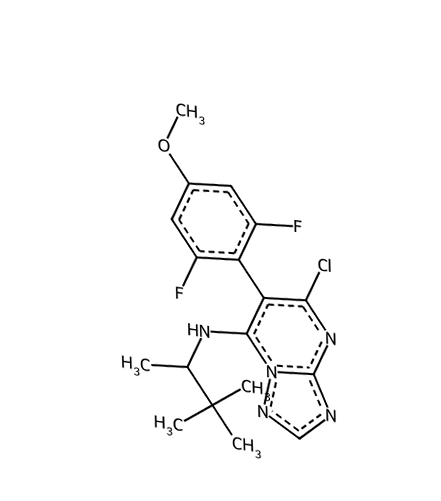 COc1cc(F)c(-c2c(Cl)nc3ncnn3c2NC(C)C(C)(C)C)c(F)c1